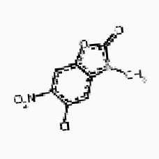 Cn1c(=O)oc2cc([N+](=O)[O-])c(Cl)cc21